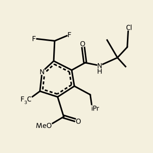 COC(=O)c1c(C(F)(F)F)nc(C(F)F)c(C(=O)NC(C)(C)CCl)c1CC(C)C